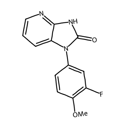 COc1ccc(-n2c(=O)[nH]c3ncccc32)cc1F